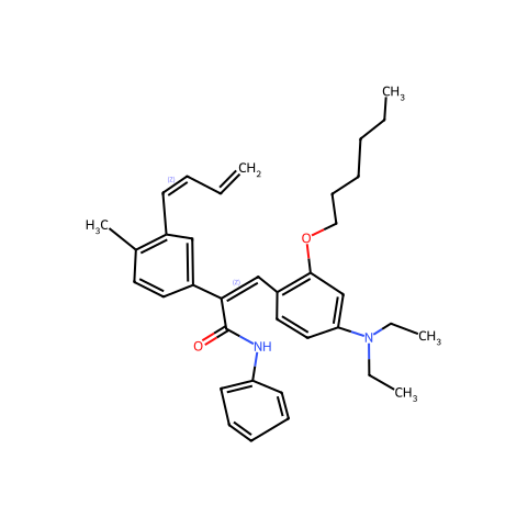 C=C/C=C\c1cc(/C(=C/c2ccc(N(CC)CC)cc2OCCCCCC)C(=O)Nc2ccccc2)ccc1C